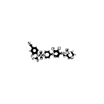 N#Cc1ccc(N(C(F)F)S(=O)(=O)N2CCC(n3ncc(NC[C@@H]4COCC[S+]4[O-])c(Cl)c3=O)CC2)c(F)c1